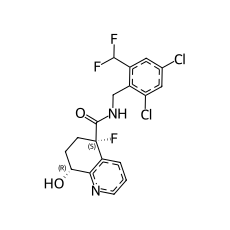 O=C(NCc1c(Cl)cc(Cl)cc1C(F)F)[C@]1(F)CC[C@@H](O)c2ncccc21